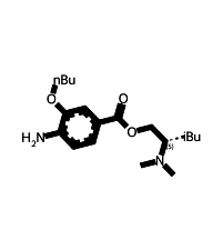 CCCCOc1cc(C(=O)OC[C@H](C(C)CC)N(C)C)ccc1N